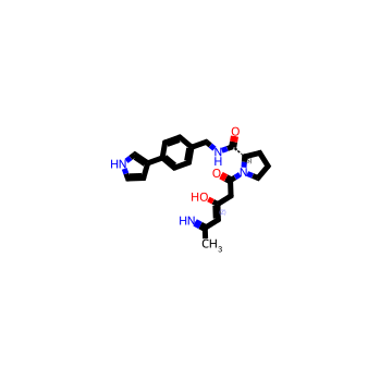 CC(=N)/C=C(\O)CC(=O)N1CCC[C@H]1C(=O)NCc1ccc(-c2cc[nH]c2)cc1